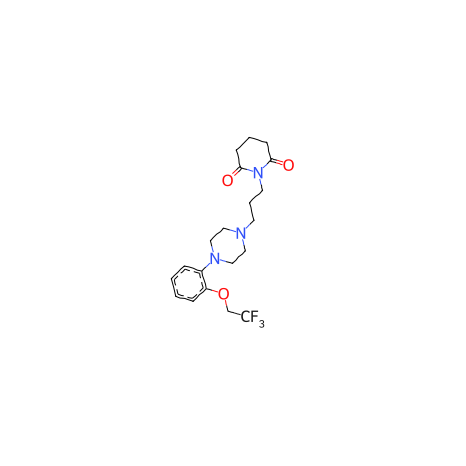 O=C1CCCC(=O)N1CCCN1CCN(c2ccccc2OCC(F)(F)F)CC1